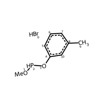 Br.COPOc1cccc(C)c1